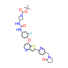 CC(C)(C)OC(=O)N1CC(NC(=O)Nc2ccc(Oc3ccnc4cc(-c5ccc(CN6CCCC6=O)cn5)sc34)c(F)c2)C1